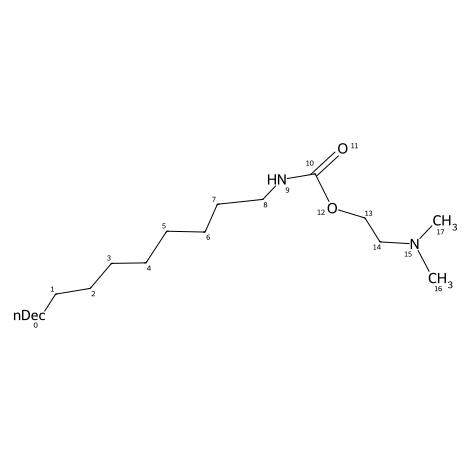 CCCCCCCCCCCCCCCCCCNC(=O)OCCN(C)C